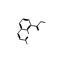 Nc1ccc2cccc(C(=O)CS)c2n1